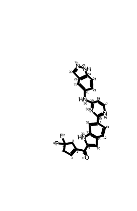 O=C(C1=CCC(F)(F)C1)c1cc2ccc(-c3nccc(Nc4ccc5[nH]ncc5c4)n3)cc2[nH]1